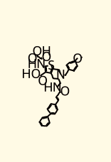 COc1ccc(CN2Cc3sc(NC(=O)C(=O)O)c(C(=O)O)c3CC2CNC(=O)C=Cc2ccc(-c3ccccc3)cc2)cc1